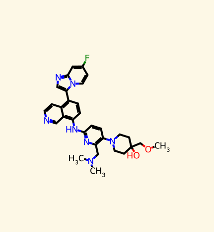 COCC1(O)CCN(c2ccc(Nc3ccc(-c4cnc5cc(F)ccn45)c4ccncc34)nc2CN(C)C)CC1